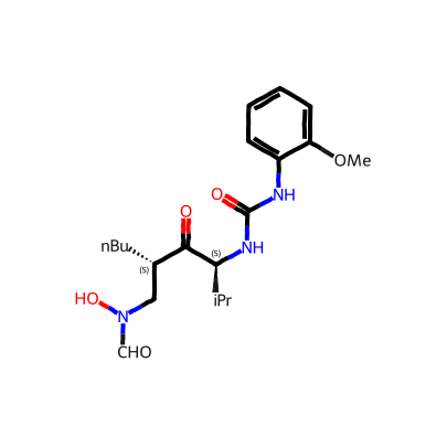 CCCC[C@@H](CN(O)C=O)C(=O)[C@@H](NC(=O)Nc1ccccc1OC)C(C)C